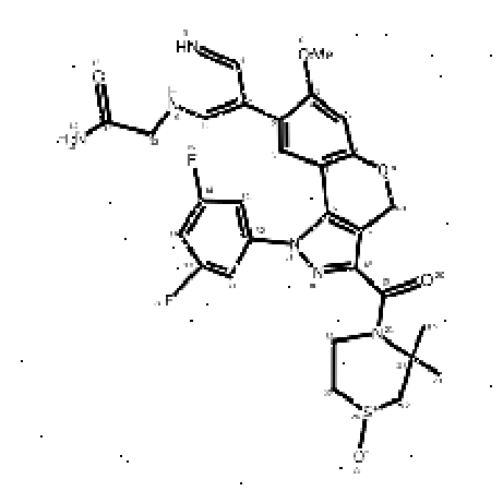 COc1cc2c(cc1/C(C=N)=C/NCC(N)=O)-c1c(c(C(=O)N3CC[S+]([O-])CC3(C)C)nn1-c1cc(F)cc(F)c1)CO2